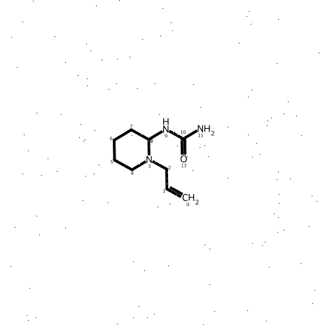 C=CCN1CCCCC1NC(N)=O